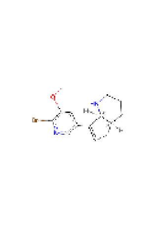 COc1cc(C2=CC[C@@H]3CCCN[C@H]23)cnc1Br